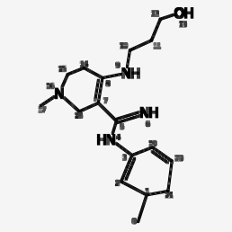 CC1C=C(NC(=N)C2=C(NCCCO)CCN(C)C2)C=CC1